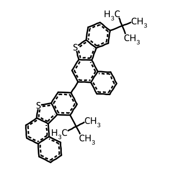 CC(C)(C)c1ccc2sc3cc(-c4cc(C(C)(C)C)c5c(c4)sc4ccc6ccccc6c45)c4ccccc4c3c2c1